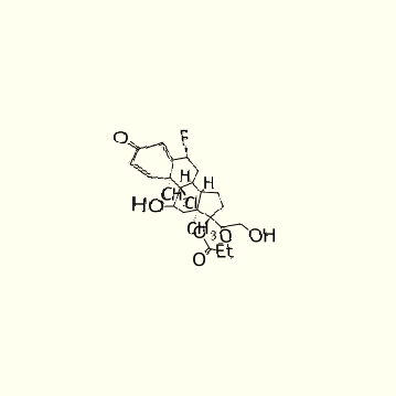 CCC(=O)O[C@]1(C(=O)CO)CC[C@H]2[C@@H]3C[C@H](F)C4=CC(=O)C=C[C@]4(C)[C@@]3(Cl)C(O)C[C@@]21C